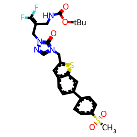 CC(C)(C)OC(=O)NCC(Cn1ncn(Cc2cc3ccc(-c4ccc(S(C)(=O)=O)cc4)cc3s2)c1=O)=C(F)F